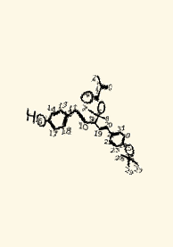 C=C(C)C(=O)OC(C)(C)C(C=Cc1ccc(O)cc1)C=Cc1ccc(OC(C)(C)C)cc1